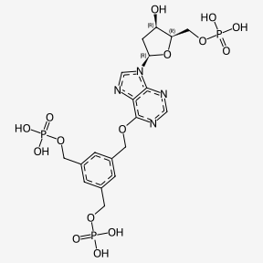 O=P(O)(O)OCc1cc(COc2ncnc3c2ncn3[C@H]2C[C@@H](O)[C@@H](COP(=O)(O)O)O2)cc(COP(=O)(O)O)c1